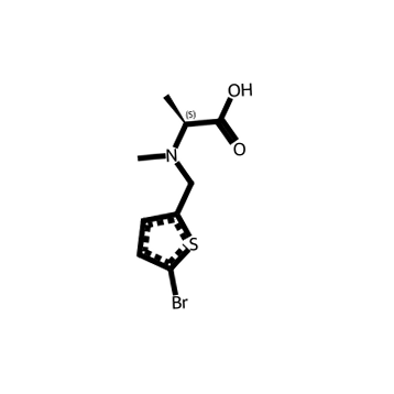 C[C@@H](C(=O)O)N(C)Cc1ccc(Br)s1